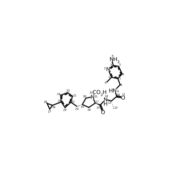 Cc1nc(N)ccc1CNC(=O)[C@H](C)NC(=O)[C@H]1C[C@H](Cc2cccc(C3CC3)c2)CN1C(=O)O